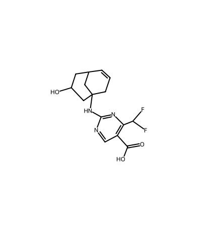 O=C(O)c1cnc(NC23CC=CC(CC(O)C2)C3)nc1C(F)F